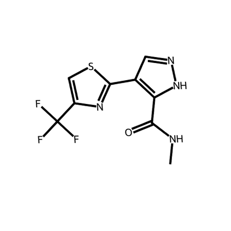 CNC(=O)c1[nH]ncc1-c1nc(C(F)(F)F)cs1